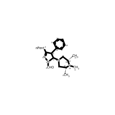 CCCCCC1=NN(C=O)C(N2C[C@@H](C)N(C)[C@@H](C)C2)C1c1ccccc1